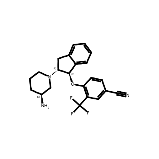 N#Cc1ccc(O[C@@H]2c3ccccc3C[C@H]2N2CCC[C@H](N)C2)c(C(F)(F)F)c1